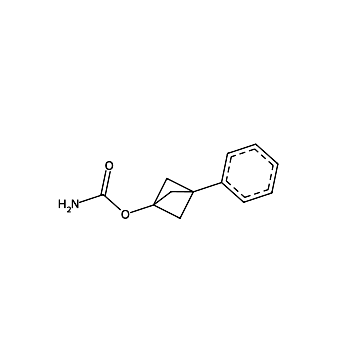 NC(=O)OC12CC(c3ccccc3)(C1)C2